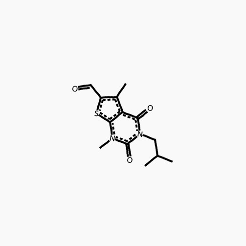 Cc1c(C=O)sc2c1c(=O)n(CC(C)C)c(=O)n2C